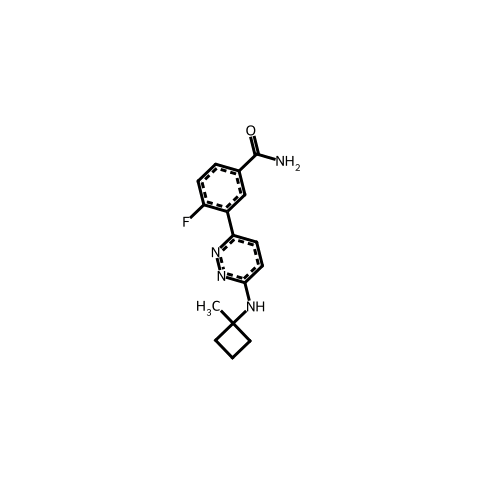 CC1(Nc2ccc(-c3cc(C(N)=O)ccc3F)nn2)CCC1